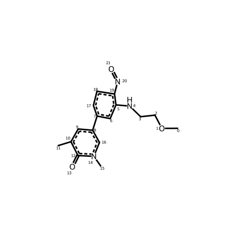 COCCNc1cc(-c2cc(C)c(=O)n(C)c2)ccc1N=O